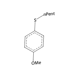 CCCCCSc1ccc(OC)cc1